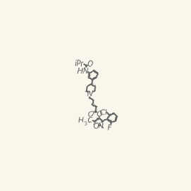 Cc1onc(-c2c(F)cccc2Cl)c1OC(=O)CCCCN1CCC(c2cccc(NC(=O)C(C)C)c2)CC1